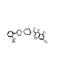 CC(C)Oc1ccccc1N1CCN([C@H]2CC[C@@H](NC(=O)Nc3c(Cl)cc(Cl)cc3Cl)CC2)CC1